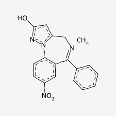 C.O=[N+]([O-])c1ccc2c(c1)C(c1ccccc1)=NCc1cc(O)nn1-2